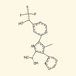 Cc1c(-c2cccc(C(O)C(F)(F)F)c2)[nH]c(C(O)O)c1-c1ccccc1